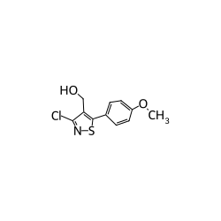 COc1ccc(-c2snc(Cl)c2CO)cc1